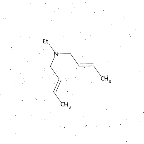 CC=CCN(CC)CC=CC